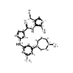 Cc1nc(Nc2ncc(C(=O)Nc3c(CF)csc3Cl)s2)cc(N2CCCN(C)CC2)n1